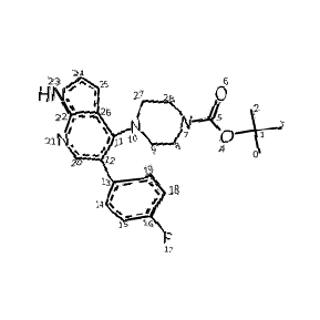 CC(C)(C)OC(=O)N1CCN(c2c(-c3ccc(F)cc3)cnc3[nH]ccc23)CC1